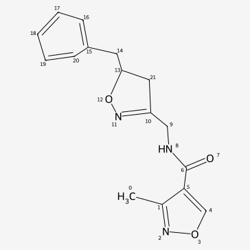 Cc1nocc1C(=O)NCC1=NOC(Cc2ccccc2)C1